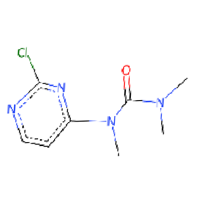 CN(C)C(=O)N(C)c1ccnc(Cl)n1